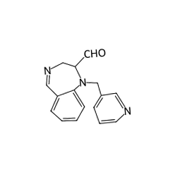 O=CC1CN=Cc2ccccc2N1Cc1cccnc1